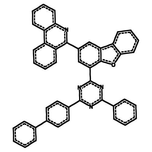 c1ccc(-c2ccc(-c3nc(-c4ccccc4)nc(-c4cc(-c5nc6ccccc6c6ccccc56)cc5c4oc4ccccc45)n3)cc2)cc1